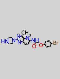 Cc1nc(N2CCNCC2)nc2ccc(NC(=O)COc3ccc(Br)cc3)nc12